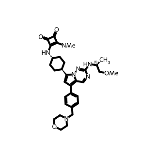 CNc1c(N[C@H]2CC[C@H](c3cc(-c4ccc(CN5CCOCC5)cc4)c4cnc(N[C@@H](C)COC)nn43)CC2)c(=O)c1=O